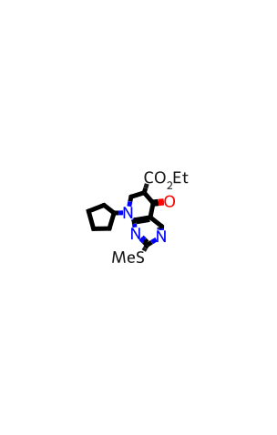 CCOC(=O)C1CN(C2CCCC2)c2nc(SC)ncc2C1=O